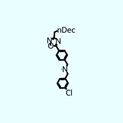 CCCCCCCCCCCc1noc(-c2ccc(C[N]Cc3cccc(Cl)c3)cc2)n1